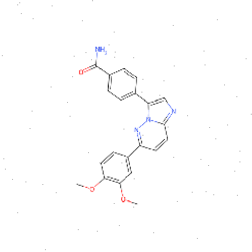 COc1ccc(-c2ccc3ncc(-c4ccc(C(N)=O)cc4)n3n2)cc1OC